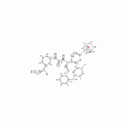 Cc1cccc2c1N(CC(=O)N1CC3CCC(CC3)C1)C(=O)C(NC(=O)Nc1cccc(C(C)S(=O)(=O)O)c1)N=C2c1ccccc1F